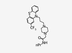 CCCNC(=O)CN1CCN(CCCN2c3ccccc3Sc3ccc(C(F)(F)F)cc32)CC1